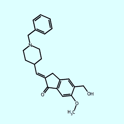 COc1cc2c(cc1CO)CC(=CC1CCN(Cc3ccccc3)CC1)C2=O